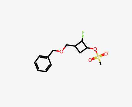 CS(=O)(=O)OC1CC(COCc2ccccc2)C1F